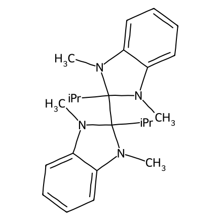 CC(C)C1(C2(C(C)C)N(C)c3ccccc3N2C)N(C)c2ccccc2N1C